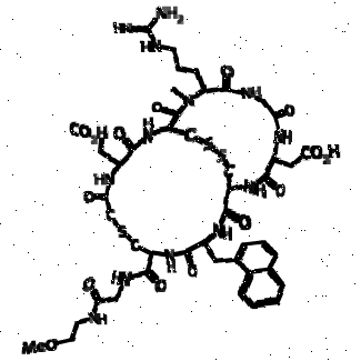 COCCNC(=O)CNC(=O)C1CSCC(=O)NC(CC(=O)O)C(=O)NC2CSSCC(NC(=O)C(CC(=O)O)NC(=O)CNC(=O)C(CCCNC(=N)N)N(C)C2=O)C(=O)NC(Cc2cccc3ccccc23)C(=O)N1